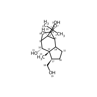 CC(C)(O)[C@H]1C2C(=O)OC1[C@@H](O)[C@]1(C)C2CC[C@H]1CO